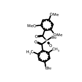 CCC(C)P(=O)(C(=O)c1c(C)cc(C(C)(C)C)cc1C)C(=O)c1c(OC)cc(OC)cc1OC